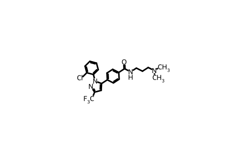 CN(C)CCCNC(=O)c1ccc(-c2cc(C(F)(F)F)nn2-c2ccccc2Cl)cc1